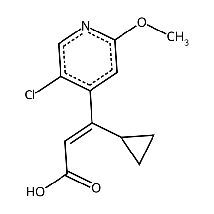 COc1cc(/C(=C/C(=O)O)C2CC2)c(Cl)cn1